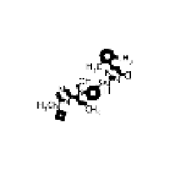 CCCC(c1cncc(N(C)C2CCC2)n1)N(CO)c1cccc(SNc2nc(Cl)cc(-c3c(C)cccc3C)n2)c1